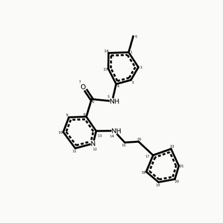 Cc1ccc(NC(=O)c2cccnc2NCCc2ccccc2)cc1